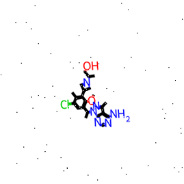 COc1c(C(C)n2nc(C)c3c(N)ncnc32)cc(Cl)c(C)c1C1CN(C(C)CO)C1